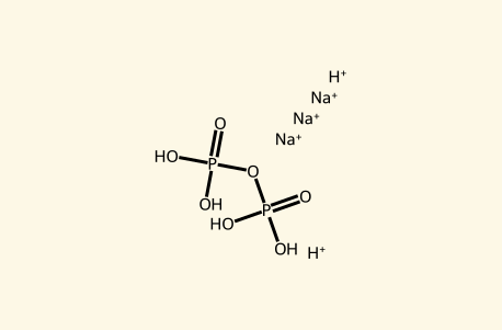 O=P(O)(O)OP(=O)(O)O.[H+].[H+].[Na+].[Na+].[Na+]